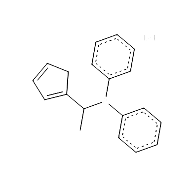 CC(C1=CC=CC1)P(c1ccccc1)c1ccccc1.[LiH]